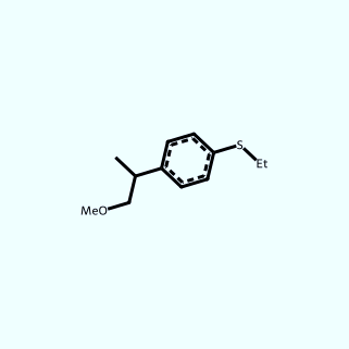 CCSc1ccc(C(C)COC)cc1